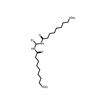 CCCCCCCCCCCCCCCCCC(=O)N[C](CC)NC(=O)CCCCCCCCCCCCCCCCC